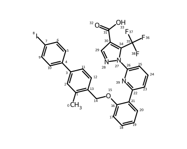 Cc1cc(-c2ccc(I)cc2)ccc1COc1ccccc1-c1cccc(-n2ncc(C(=O)O)c2C(F)(F)F)n1